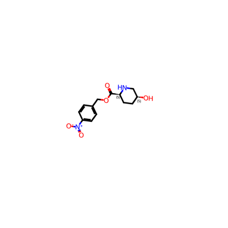 O=C(OCc1ccc([N+](=O)[O-])cc1)[C@@H]1CC[C@H](O)CN1